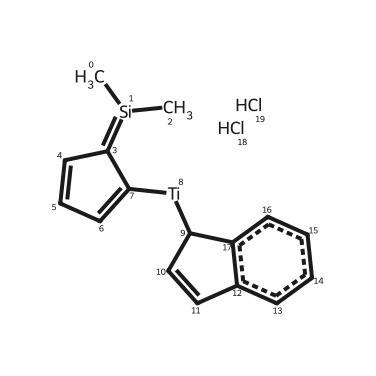 C[Si](C)=C1C=CC=[C]1[Ti][CH]1C=Cc2ccccc21.Cl.Cl